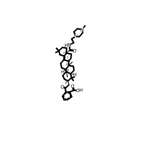 CN1CCN(CCNC(=O)[C@]23CCC(C)(C)CC2=C2CC[C@@H]4[C@@]5(C)CC[C@H](CC(=O)c6ccccc6C(=O)O)C(C)(C)[C@@H]5CC[C@@]4(C)[C@]2(C)CC3)CC1